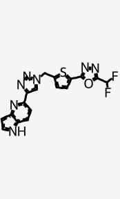 FC(F)c1nnc(-c2ccc(Cn3cc(-c4ccc5[nH]ccc5n4)nn3)s2)o1